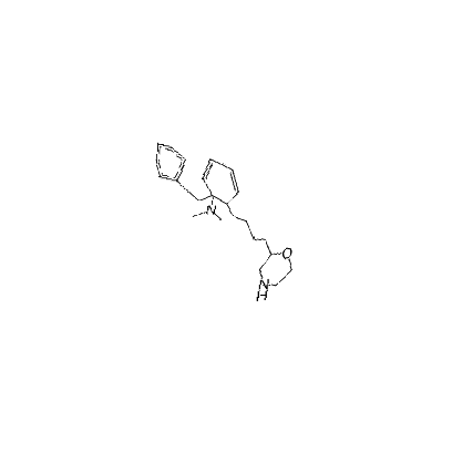 CN(C)C1(Cc2ccccc2)C=CC=CC1CCCCC1CNCCO1